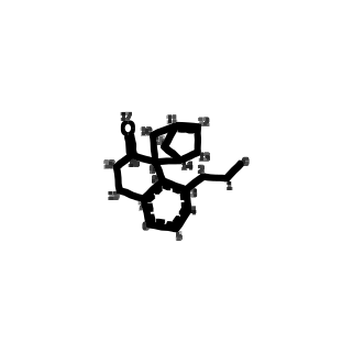 CCCc1cccc2c1C1(CC3=CCC1C3)C(=O)CC2